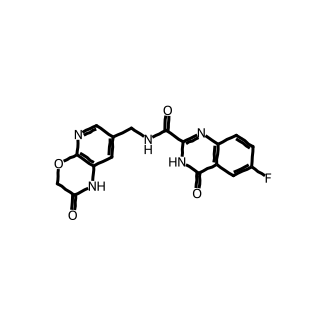 O=C1COc2ncc(CNC(=O)c3nc4ccc(F)cc4c(=O)[nH]3)cc2N1